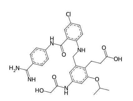 CC(C)Oc1cc(NC(=O)CO)cc(CNc2ccc(Cl)cc2C(=O)Nc2ccc(C(=N)N)cc2)c1CCC(=O)O